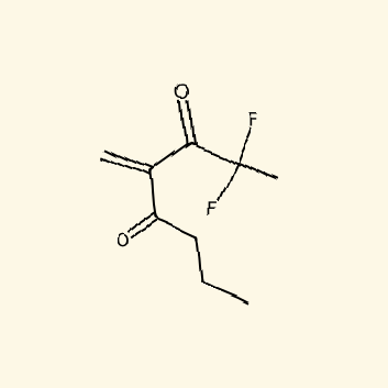 C=C(C(=O)CCC)C(=O)C(C)(F)F